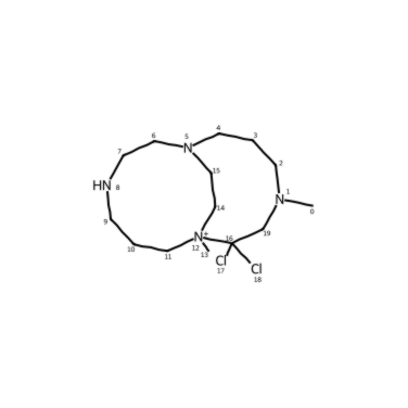 CN1CCCN2CCNCCC[N+](C)(CC2)C(Cl)(Cl)C1